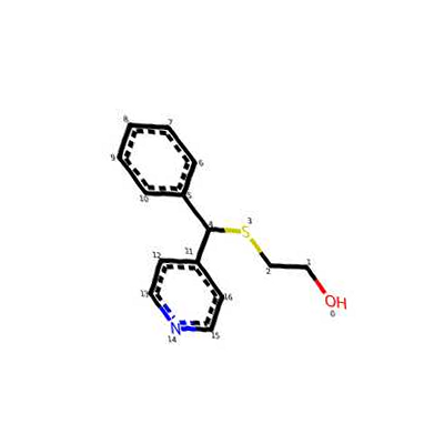 OCCSC(c1ccccc1)c1ccncc1